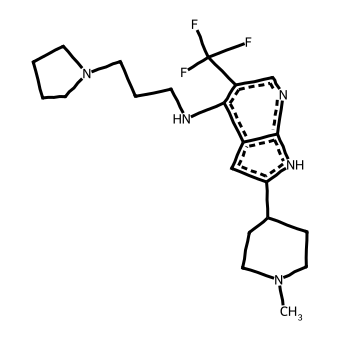 CN1CCC(c2cc3c(NCCCN4CCCC4)c(C(F)(F)F)cnc3[nH]2)CC1